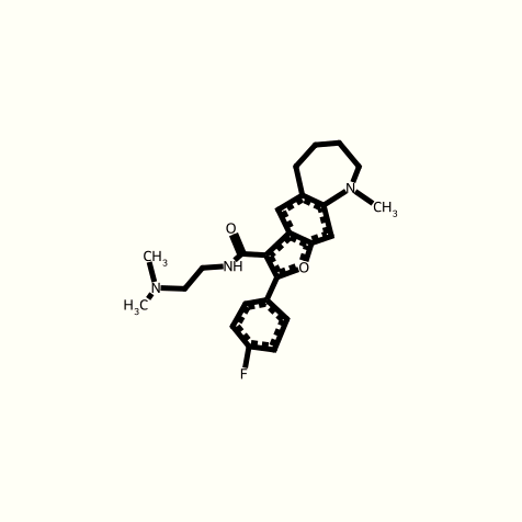 CN(C)CCNC(=O)c1c(-c2ccc(F)cc2)oc2cc3c(cc12)CCCCN3C